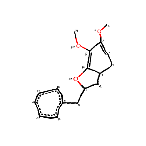 COC1=CCC2CC(Cc3ccccc3)OC2=C1OC